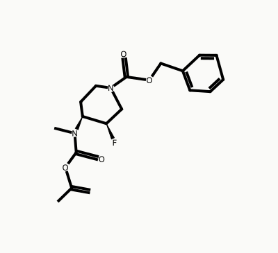 C=C(C)OC(=O)N(C)[C@H]1CCN(C(=O)OCc2ccccc2)C[C@H]1F